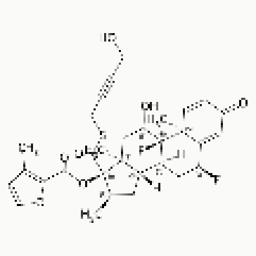 Cc1ccoc1C(=O)O[C@]1(C(=O)SCC#CCO)[C@H](C)C[C@H]2[C@@H]3C[C@H](F)C4=CC(=O)C=C[C@]4(C)[C@@]3(F)[C@@H](O)C[C@@]21C